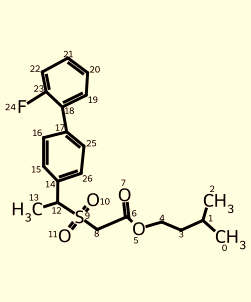 CC(C)CCOC(=O)CS(=O)(=O)C(C)c1ccc(-c2ccccc2F)cc1